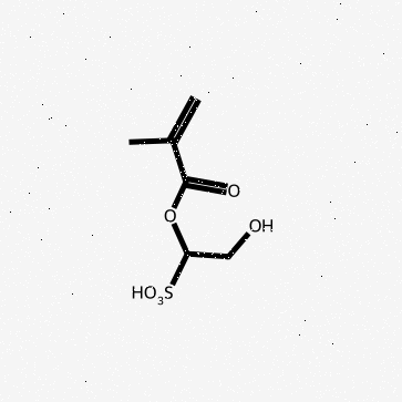 C=C(C)C(=O)OC(CO)S(=O)(=O)O